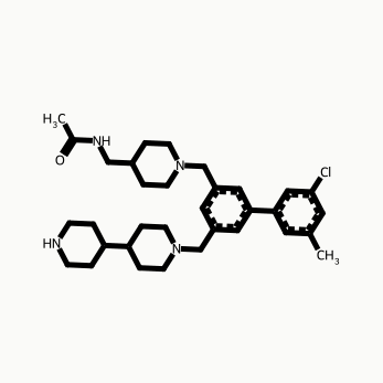 CC(=O)NCC1CCN(Cc2cc(CN3CCC(C4CCNCC4)CC3)cc(-c3cc(C)cc(Cl)c3)c2)CC1